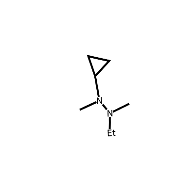 CCN(C)N(C)C1CC1